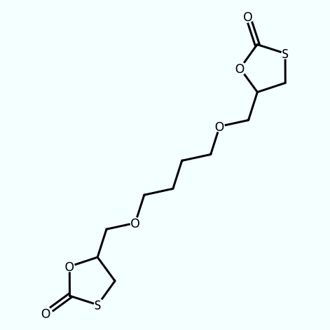 O=C1OC(COCCCCOCC2CSC(=O)O2)CS1